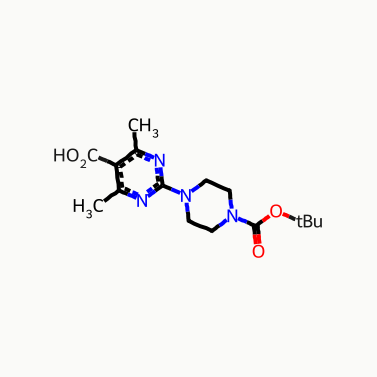 Cc1nc(N2CCN(C(=O)OC(C)(C)C)CC2)nc(C)c1C(=O)O